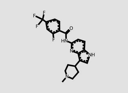 CN1CCC(c2c[nH]c3ccc(NC(=O)c4ccc(C(F)(F)F)cc4F)nc23)CC1